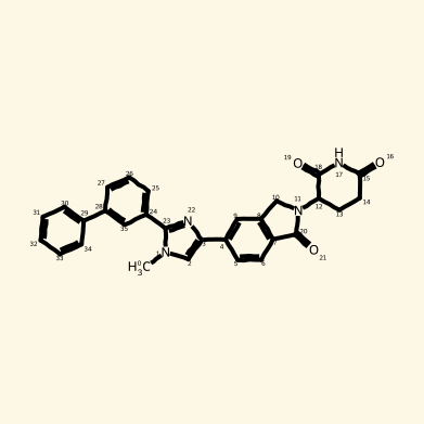 Cn1cc(-c2ccc3c(c2)CN(C2CCC(=O)NC2=O)C3=O)nc1-c1cccc(-c2ccccc2)c1